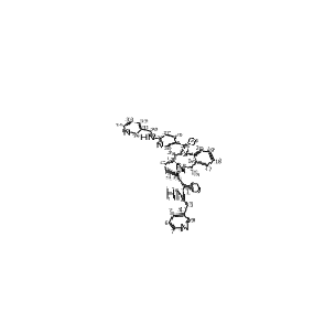 O=C(NCc1cccnc1)c1ccc2n1Cc1ccccc1N(C(=O)c1ccc(NCc3cccnc3)nc1)C2